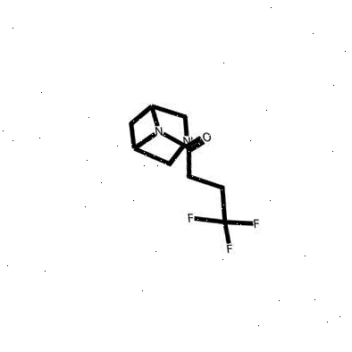 O=C(CCC(F)(F)F)N1C2CNCC1C2